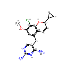 Nc1ncc(Cc2cc(OC(F)(F)F)c(Cl)c3c2C=CC(C2CC2)O3)c(N)n1